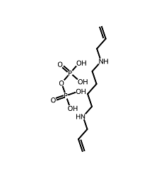 C=CCNCCCCNCC=C.O=P(O)(O)OP(=O)(O)O